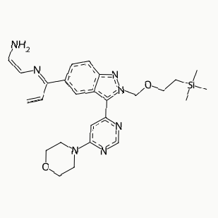 C=C/C(=N\C=C/N)c1ccc2nn(COCC[Si](C)(C)C)c(-c3cc(N4CCOCC4)ncn3)c2c1